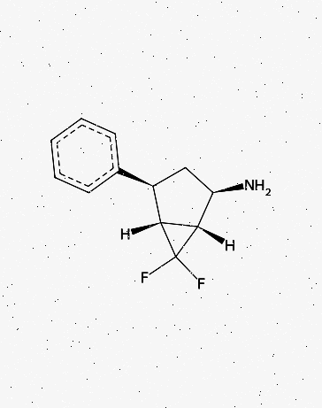 N[C@@H]1C[C@H](c2ccccc2)[C@@H]2[C@H]1C2(F)F